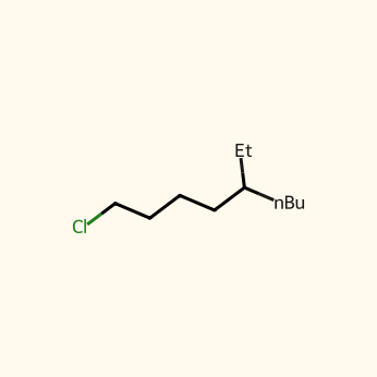 CCCCC(CC)CCCCCl